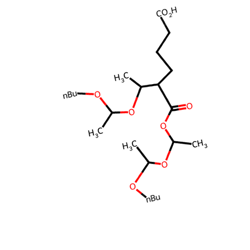 CCCCOC(C)OC(C)OC(=O)C(CCCC(=O)O)C(C)OC(C)OCCCC